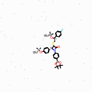 CC1(C)OB(c2ccc(N3C(=O)[C@H](SC[C@@H](O[Si](C)(C)C(C)(C)C)c4ccc(F)cc4)[C@H]3c3ccc(O[Si](C)(C)C(C)(C)C)cc3)cc2)OC1(C)C